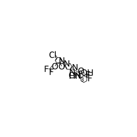 Cn1c(C(=O)N[C@H]2CCCC(F)(F)[C@@H]2O)nc2cnc(Oc3ncc(Cl)cc3OCC(F)F)cc21